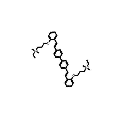 CC[N+](C)(C)CCCOc1ccccc1/C=C/c1ccc(-c2ccc(/C=C/c3ccccc3OCCC[N+](C)(C)CC)cc2)cc1